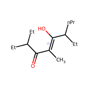 CCCC(CC)/C(O)=C(\C)C(=O)C(CC)CC